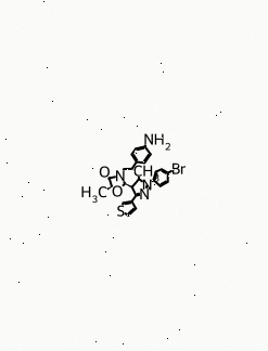 CC1C([C@H]2O[C@@H](C)C(=O)N2CCc2ccc(N)cc2)C(c2ccsc2)=NN1c1ccc(Br)cc1